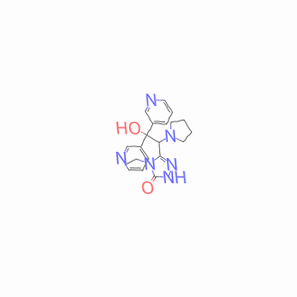 CCn1c(C(N2CCCC2)C(O)(c2cccnc2)c2cccnc2)n[nH]c1=O